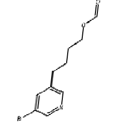 O=COCCCCc1cncc(Br)c1